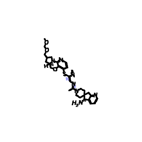 C=N/C(=C\N=C(/C)N1CCC2(CC1)Cc1ncccc1[C@H]2N)Sc1ccnc2c1OC[C@@H]1CC(COCOC)CN21